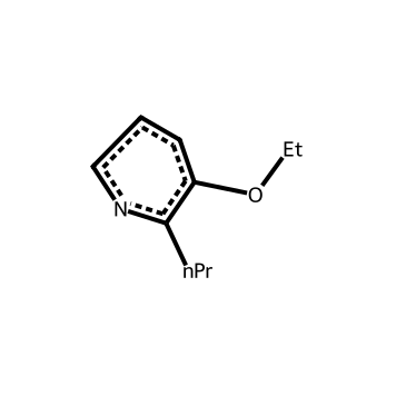 CCCc1ncccc1OCC